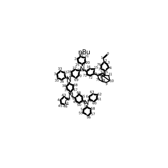 C=Cc1ccc(C23CC4CC(C2)CC(c2ccc(N(c5ccc(CCCC)cc5)c5ccc(N(c6ccccc6)c6ccc(N(c7ccccc7)c7ccc(N(c8ccccc8)c8ccccc8)cc7)cc6)cc5)cc2)(C4)C3)cc1